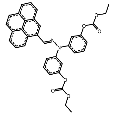 CCOC(=O)Oc1cccc(N(N=Cc2cc3cccc4ccc5cccc2c5c43)c2cccc(OC(=O)OCC)c2)c1